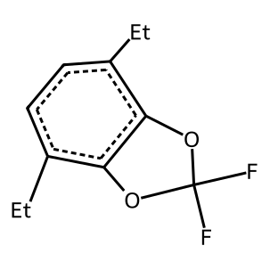 CCc1ccc(CC)c2c1OC(F)(F)O2